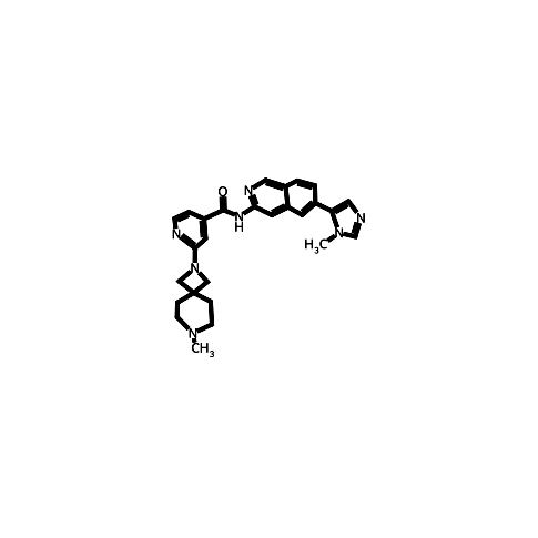 CN1CCC2(CC1)CN(c1cc(C(=O)Nc3cc4cc(-c5cncn5C)ccc4cn3)ccn1)C2